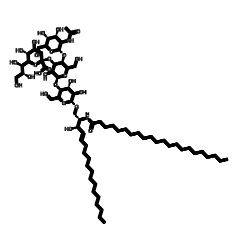 CCCCCCCCCCCCC/C=C/[C@@H](O)[C@H](CO[C@@H]1OC(CO)[C@@H](O[C@@H]2OC(CO)[C@H](O[C@@H]3OC(CO)[C@H](O)[C@H](O)C3NC(C)=O)[C@H](O[C@]3(C(=O)O)CC(O)[C@@H](O)C([C@H](O)[C@H](O)CO)O3)C2O)[C@H](O)C1O)NC(=O)CCCCCCCCCCCCCCCCCCCCC